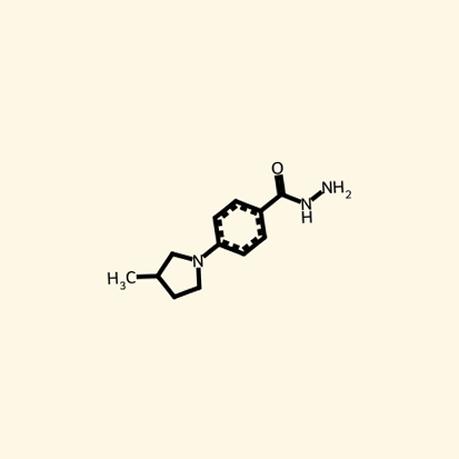 CC1CCN(c2ccc(C(=O)NN)cc2)C1